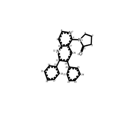 O=C1CCCN1c1nccc2nc(-c3cc[c]cc3)c(-c3ccccc3)cc12